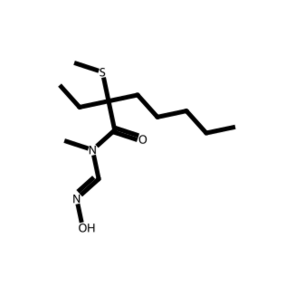 CCCCCC(CC)(SC)C(=O)N(C)C=NO